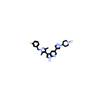 Cc1nn(Cc2cccc(F)c2)c(C)c1-c1c[nH]c2ncc(-c3cnn(C4CCN(Cl)CC4)c3)cc12